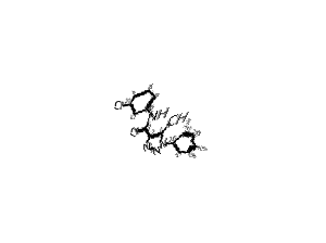 Cc1c(C(=O)Nc2cccc(Cl)c2)nnn1-c1ccccc1